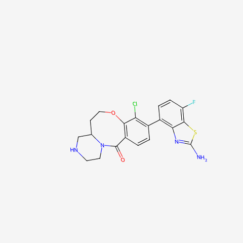 Nc1nc2c(-c3ccc4c(c3Cl)OCCC3CNCCN3C4=O)ccc(F)c2s1